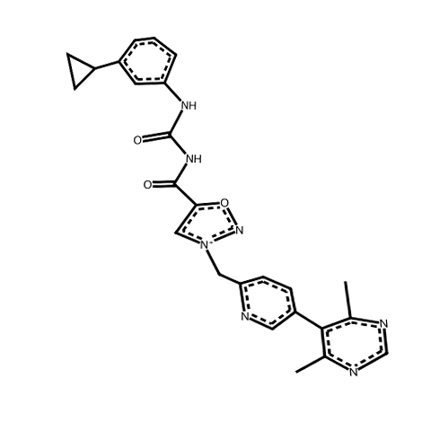 Cc1ncnc(C)c1-c1ccc(C[n+]2cc(C(=O)NC(=O)Nc3cccc(C4CC4)c3)on2)nc1